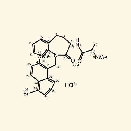 CN[C@@H](C)C(=O)N[C@H]1CCc2ccccc2N(Cc2c(OC)ccc3c(Br)cccc23)C1=O.Cl